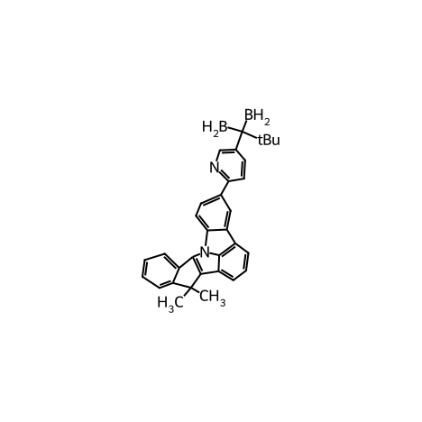 BC(B)(c1ccc(-c2ccc3c(c2)c2cccc4c5c(n3c42)-c2ccccc2C5(C)C)nc1)C(C)(C)C